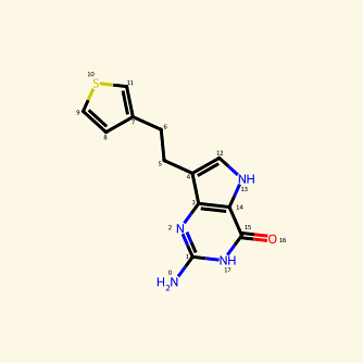 Nc1nc2c(CCc3ccsc3)c[nH]c2c(=O)[nH]1